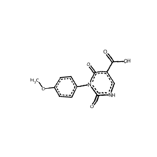 COc1ccc(-n2c(=O)[nH]cc(C(=O)O)c2=O)cc1